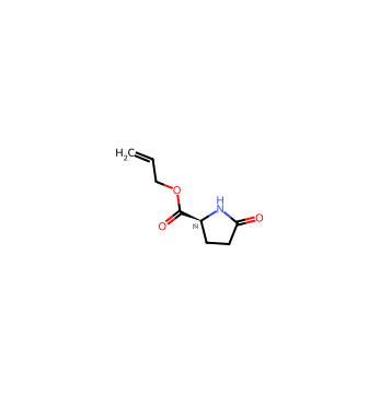 C=CCOC(=O)[C@@H]1CCC(=O)N1